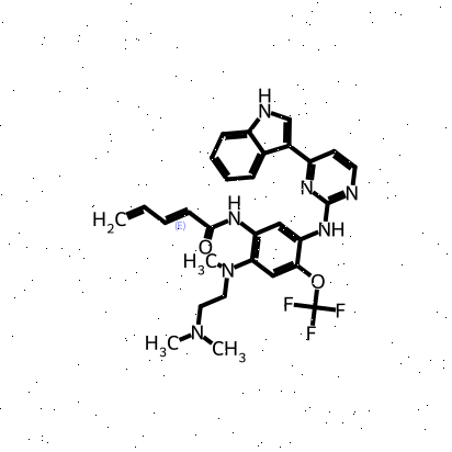 C=C/C=C/C(=O)Nc1cc(Nc2nccc(-c3c[nH]c4ccccc34)n2)c(OC(F)(F)F)cc1N(C)CCN(C)C